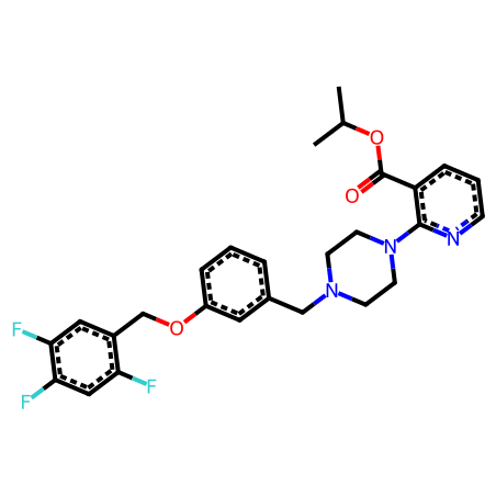 CC(C)OC(=O)c1cccnc1N1CCN(Cc2cccc(OCc3cc(F)c(F)cc3F)c2)CC1